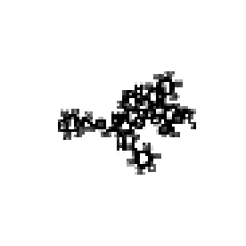 CC(C)CC(NC(=O)[C@H](CCc1ccccc1)NC(=O)COCCN1CCOCC1)C(=O)N[C@@H](Cc1ccccc1)C(=O)NC(CC(C)C)C(=O)C1(C)CO1